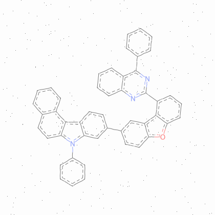 c1ccc(-c2nc(-c3cccc4oc5ccc(-c6ccc7c8c9ccccc9ccc8n(-c8ccccc8)c7c6)cc5c34)nc3ccccc23)cc1